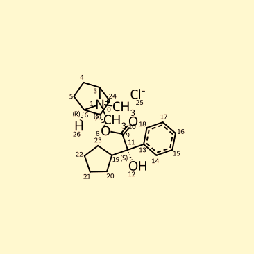 C[N+]1(C)C2CC[C@@H]1[C@@H](OC(=O)[C@@](O)(c1ccccc1)C1CCCC1)C2.[Cl-]